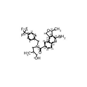 CC(CO)CN(Cc1ccc(C(F)(F)F)cn1)C(=O)c1ccc2nc(N)c3c(c2c1)COC3C